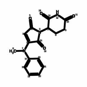 CN(C1=CC(=O)N(C2CCC(=O)NC2=O)C1=O)c1ccccc1